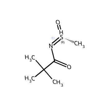 C/[S@@H](=O)=N\C(=O)C(C)(C)C